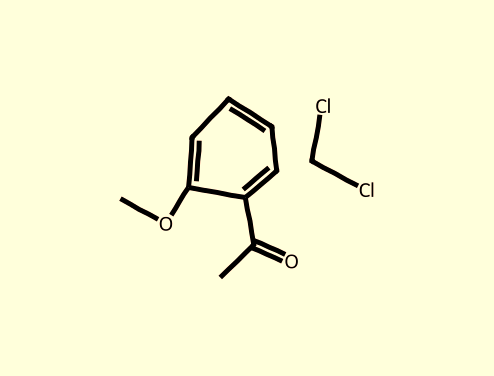 COc1ccccc1C(C)=O.ClCCl